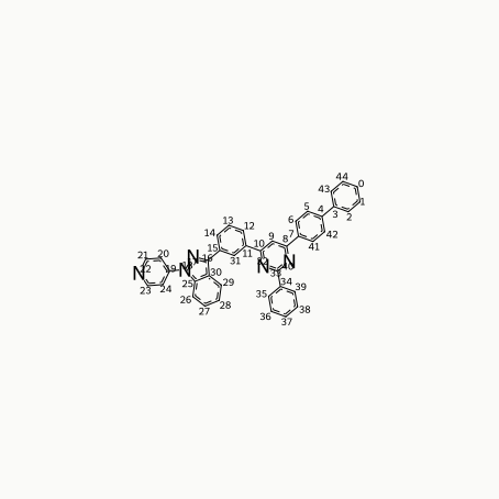 c1ccc(-c2ccc(-c3cc(-c4cccc(-c5nn(-c6ccncc6)c6ccccc56)c4)nc(-c4ccccc4)n3)cc2)cc1